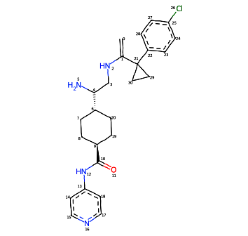 C=C(NCC(N)[C@H]1CC[C@H](C(=O)Nc2ccncc2)CC1)C1(c2ccc(Cl)cc2)CC1